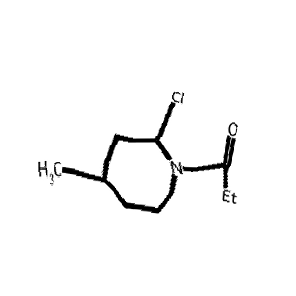 CCC(=O)N1CCC(C)CC1Cl